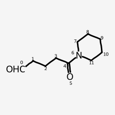 O=CCCCC(=O)N1CCCCC1